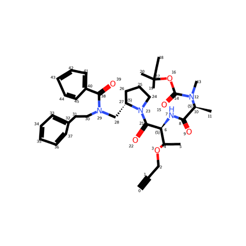 C#CCOC(C)[C@H](NC(=O)[C@H](C)N(C)C(=O)OC(C)(C)C)C(=O)N1CCC[C@H]1CN(CCc1ccccc1)C(=O)c1ccccc1